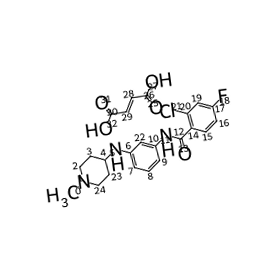 CN1CCC(Nc2cccc(NC(=O)c3ccc(F)cc3Cl)c2)CC1.O=C(O)C=CC(=O)O